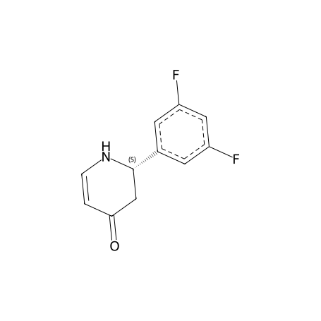 O=C1C=CN[C@H](c2cc(F)cc(F)c2)C1